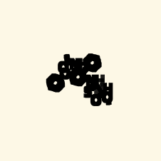 COC(=O)NC(=S)Nc1ccc(Oc2ccccc2)c(NC(C)=O)c1-c1ccccc1